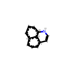 C1=Cc2cccc3cccc(c23)[N]1